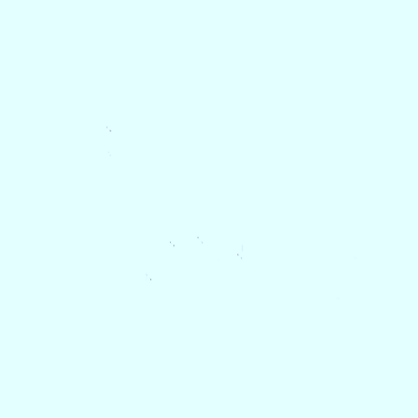 NC(=O)c1cccc(-c2cnc3ccc(NCc4ccc5c(c4)OCO5)nn23)c1